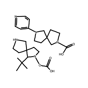 CC(C)(C)C1N(OC(=O)O)CCC12CCNC2.O=C(O)N1CCC2(CCN(c3ccncc3)C2)C1